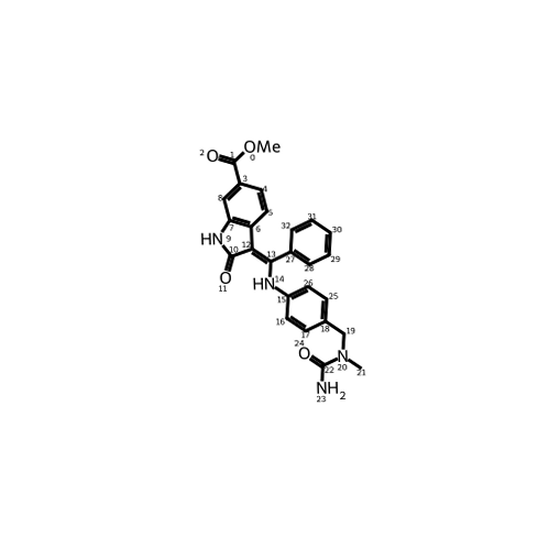 COC(=O)c1ccc2c(c1)NC(=O)/C2=C(\Nc1ccc(CN(C)C(N)=O)cc1)c1ccccc1